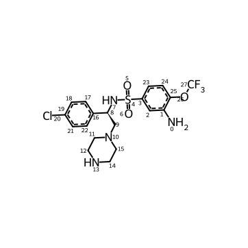 Nc1cc(S(=O)(=O)N[C@@H](CN2CCNCC2)c2ccc(Cl)cc2)ccc1OC(F)(F)F